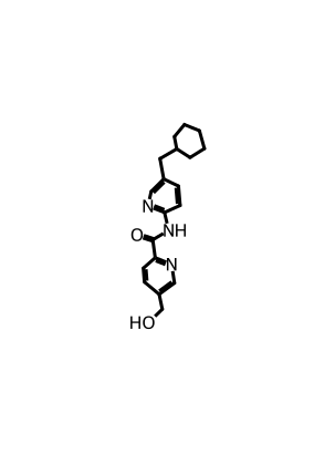 O=C(Nc1ccc(CC2CCCCC2)cn1)c1ccc(CO)cn1